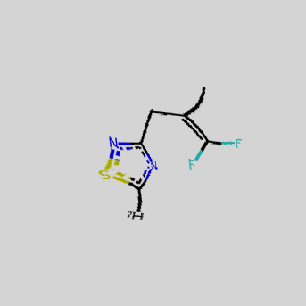 [2H]c1nc(CC(C)=C(F)F)ns1